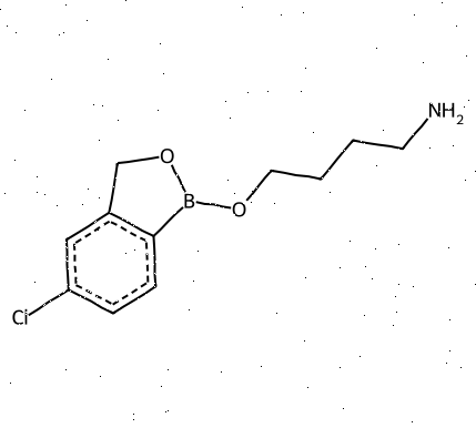 NCCCCOB1OCc2cc(Cl)ccc21